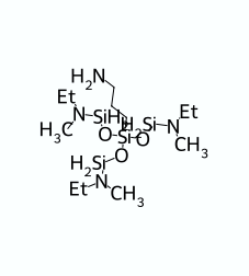 CCN(C)[SiH2]O[Si](CCCN)(O[SiH2]N(C)CC)O[SiH2]N(C)CC